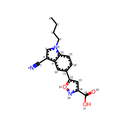 CCCCn1cc(C#N)c2cc(-c3cc(C(=O)O)no3)ccc21